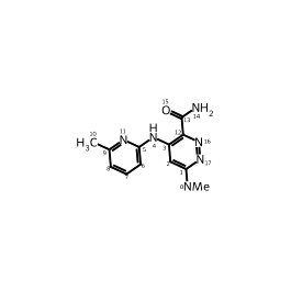 CNc1cc(Nc2cccc(C)n2)c(C(N)=O)nn1